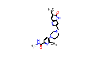 CCc1cc2ncc(CN3CCCN(c4ccc(C(=O)NC)nc4C)CC3)cc2[nH]c1=O